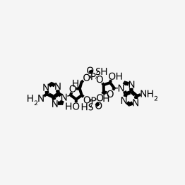 Nc1ncnc2c1ncn2[C@@H]1O[C@@H]2O[P@](=O)(S)OC3C(O)[C@H](n4cnc5c(N)ncnc54)O[C@@H]3CO[P@](=O)(S)OC2C1O